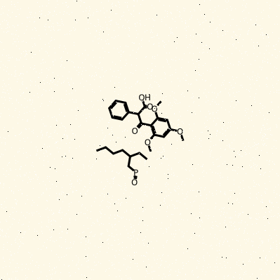 CCCCC(CC)CP=O.COc1cc(OC)c(C(=O)C(C(=O)O)c2ccccc2)c(OC)c1